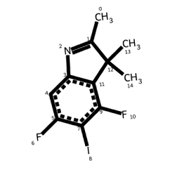 CC1=Nc2cc(F)c(I)c(F)c2C1(C)C